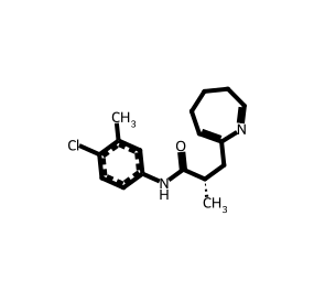 Cc1cc(NC(=O)[C@@H](C)CC2=CCCCC=N2)ccc1Cl